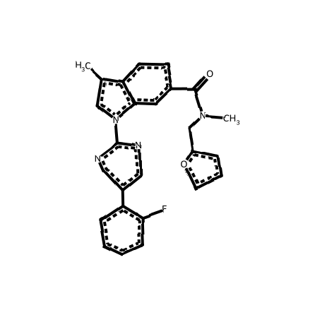 Cc1cn(-c2ncc(-c3ccccc3F)cn2)c2cc(C(=O)N(C)Cc3ccco3)ccc12